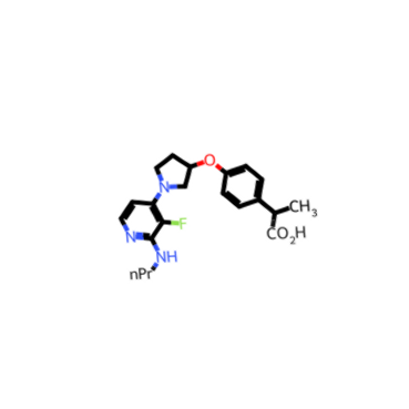 CCCNc1nccc(N2CCC(Oc3ccc(C(C)C(=O)O)cc3)C2)c1F